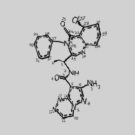 C[C@H](NC(=O)c1c(N)nn2ccnnc12)c1nc2cccc(Cl)c2c(=O)n1-c1ccccc1